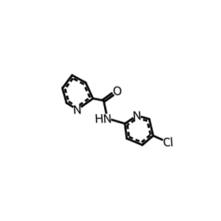 O=C(Nc1ccc(Cl)cn1)c1ccccn1